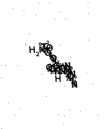 CC(C)[C@H](N)C(=O)OCCOCCOc1cc2ncn(-c3ccc(C#N)cn3)c2nc1NC1CCOCC1